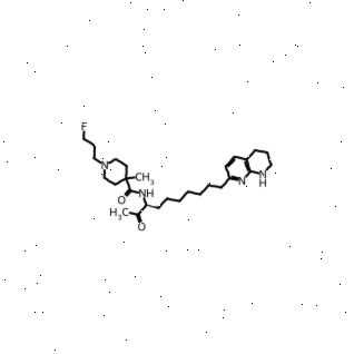 CC(=O)[C@H](CCCCCCCc1ccc2c(n1)NCCC2)NC(=O)C1(C)CCN(CCCF)CC1